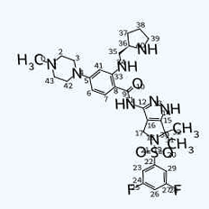 CN1CCN(c2ccc(C(=O)Nc3n[nH]c4c3CN(S(=O)(=O)c3cc(F)cc(F)c3)C4(C)C)c(NC[C@H]3CCCN3)c2)CC1